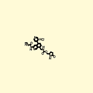 CCNC(=O)Nc1cc2c(-c3ccncc3)ccc(CNC(=O)OCC3CCC(=O)N3)c2cn1.Cl